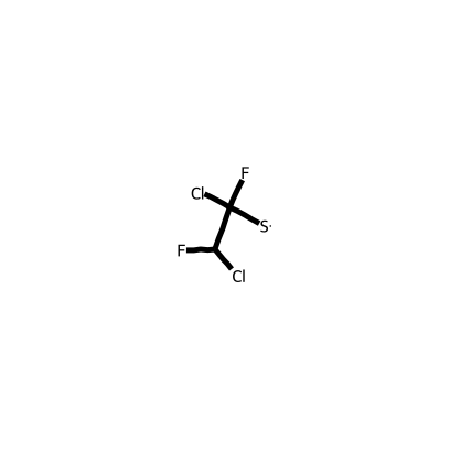 FC(Cl)C(F)([S])Cl